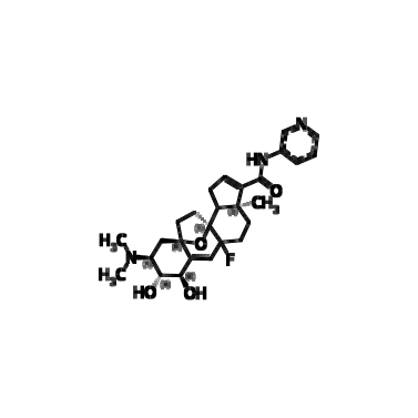 CN(C)[C@H]1C[C@@]23CC[C@]4(O2)C2CC=C(C(=O)Nc5cccnc5)[C@@]2(C)CCC4(F)C=C3[C@@H](O)[C@@H]1O